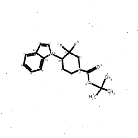 CC(C)(C)OC(=O)N1CCC(n2ccc3ccccc32)C(F)(F)C1